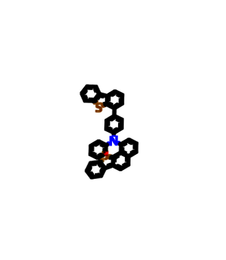 c1ccc(N(c2ccc(-c3cccc4c3sc3ccccc34)cc2)c2cccc3ccc4c5ccccc5sc4c23)cc1